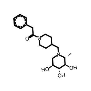 C[C@@H]1[C@@H](O)[C@H](O)[C@@H](O)CN1CC1CCN(C(=O)Cc2ccccc2)CC1